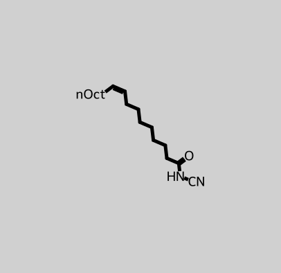 CCCCCCCC/C=C\CCCCCCCC(=O)NC#N